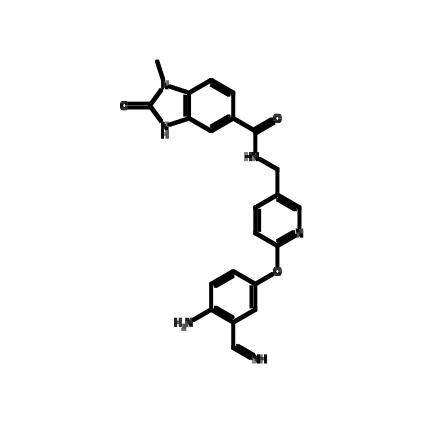 Cn1c(=O)[nH]c2cc(C(=O)NCc3ccc(Oc4ccc(N)c(C=N)c4)nc3)ccc21